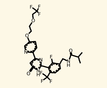 CC(C)C(=O)NCc1ccc(C(F)(F)F)c(-c2nc(-c3ccc(OCCOCC(F)(F)F)cn3)cc(=O)[nH]2)c1F